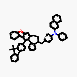 CC1(C)c2ccccc2-c2ccc(-c3c4c(cc5oc6ccccc6c35)CCC(Cc3ccc(N(c5ccccc5)c5ccc6ccccc6c5)cc3)c3ccccc3-4)cc21